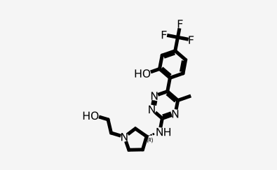 Cc1nc(N[C@@H]2CCN(CCO)C2)nnc1-c1ccc(C(F)(F)F)cc1O